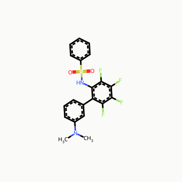 CN(C)c1cccc(-c2c(F)c(F)c(F)c(F)c2NS(=O)(=O)c2ccccc2)c1